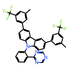 Cc1cc(-c2ccc3c(c2)c2cc(-c4cc(C)cc(C(F)(F)F)c4)ccc2n3-c2ccccc2-c2ncncn2)cc(C(F)(F)F)c1